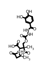 C[C@@H]1CC(=O)N1[C@@H](C(=O)O)[C@](C)(COC(=O)NNC(=O)c1ccc(O)c(O)c1)[SH](=O)=O